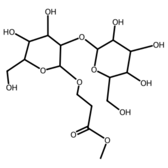 COC(=O)CCOC1OC(CO)C(O)C(O)C1OC1OC(CO)C(O)C(O)C1O